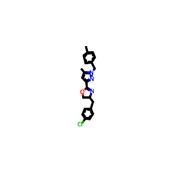 Cc1ccc(Cn2nc(C3=NC(Cc4ccc(Cl)cc4)CO3)cc2C)cc1